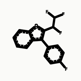 Fc1ccc(-c2c(C(F)C(F)F)oc3ccccc23)cc1